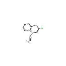 C#Cc1cc(F)cc2ccccc12